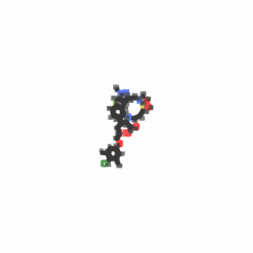 Cc1cc(OCCCc2c(C(=O)O)n3c4c(c(F)ccc24)-c2c(nn(C)c2C)CN(C)S(=O)(=O)CCC3)cc(C)c1Cl